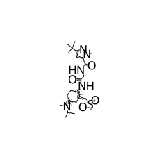 CC(C)N(C)[C@@H]1CC[C@H](NC(=O)CNC(=O)c2cc(C(C)(C)C)nn2C)[C@@H](CS(C)(=O)=O)C1